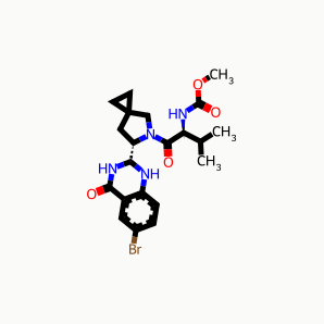 COC(=O)N[C@H](C(=O)N1CC2(CC2)C[C@H]1C1NC(=O)c2cc(Br)ccc2N1)C(C)C